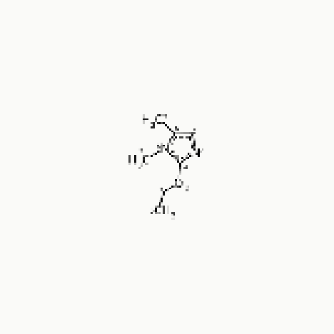 CCOc1ncc(C)n1C